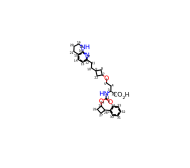 O=C(N[C@@H](CCOC1CC(CCc2ccc3c(n2)NCCC3)C1)C(=O)O)OC1CCC1c1ccccc1